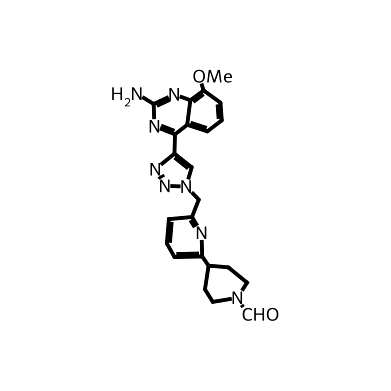 COc1cccc2c(-c3cn(Cc4cccc(C5CCN(C=O)CC5)n4)nn3)nc(N)nc12